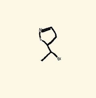 CC(Br)C1CC=NS1